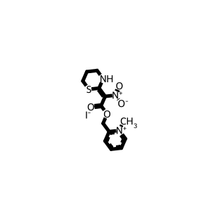 C[n+]1ccccc1COC(=O)/C(=C1/NCCCS1)[N+](=O)[O-].[I-]